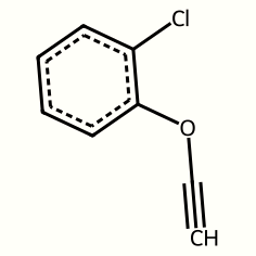 C#COc1ccccc1Cl